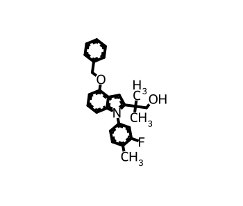 Cc1ccc(-n2c(C(C)(C)CO)cc3c(OCc4ccccc4)cccc32)cc1F